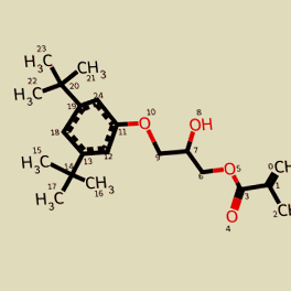 C=C(C)C(=O)OCC(O)COc1cc(C(C)(C)C)cc(C(C)(C)C)c1